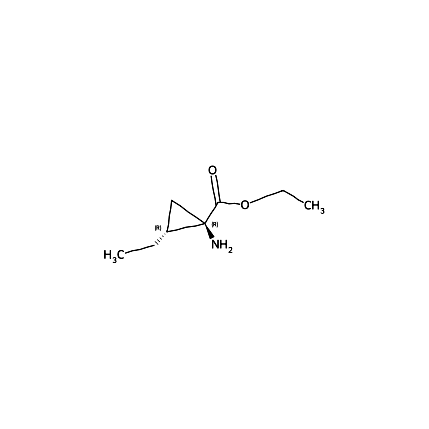 CCOC(=O)[C@@]1(N)C[C@H]1CC